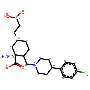 N[C@]1(C(=O)O)C[C@H](CCB(O)O)CCC1CN1CCC(c2ccc(Cl)cc2)CC1